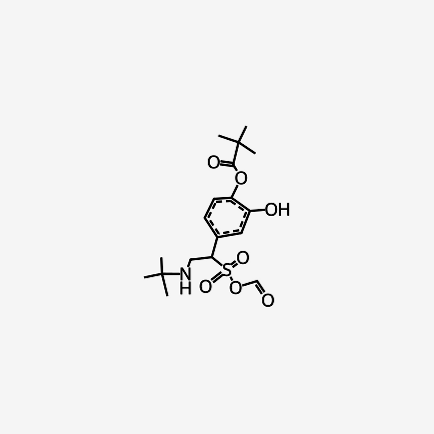 CC(C)(C)NCC(c1ccc(OC(=O)C(C)(C)C)c(O)c1)S(=O)(=O)OC=O